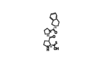 O=C(C1CCN[C@@H]1C(O)=S)[C@@H]1CCCN1C(=O)[C@H]1CCc2ccccc2C1